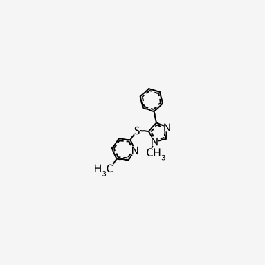 Cc1ccc(Sc2c(-c3ccccc3)ncn2C)nc1